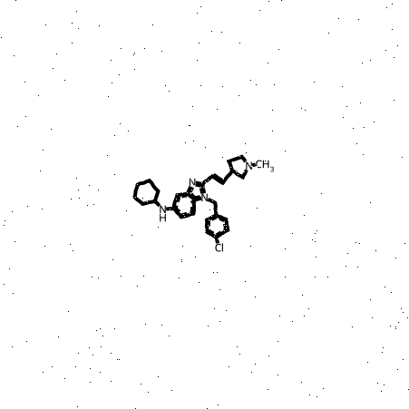 CN1CCC(/C=C/c2nc3cc(NC4CCCCC4)ccc3n2Cc2ccc(Cl)cc2)C1